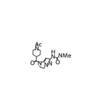 CNC(=O)Nc1cc2n(n1)CCN2C(=O)C1CCN(C(C)=O)CC1